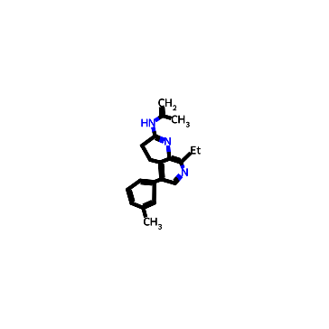 C=C(C)NC1=Nc2c(CC)ncc(-c3cccc(C)c3)c2CC1